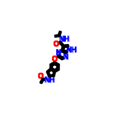 CC(=O)NC1Cc2ccc(Oc3cnc4[nH]cc(C(=O)NC(C)C)c4n3)cc2C1